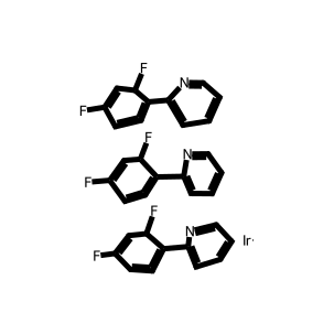 FC1=CC(F)C(c2ccccn2)=C=C1.FC1=CC(F)C(c2ccccn2)=C=C1.FC1=CC(F)C(c2ccccn2)=C=C1.[Ir]